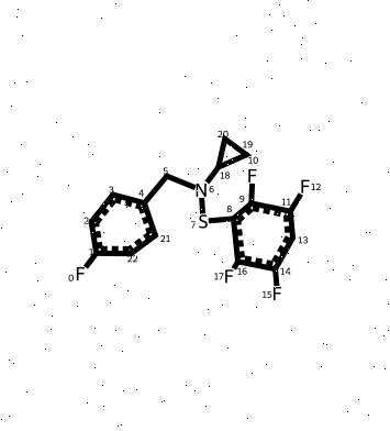 Fc1ccc(CN(Sc2c(F)c(F)cc(F)c2F)C2CC2)cc1